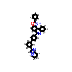 c1ccc(C2Nc3c(ccc4c(-c5ccc(-c6cccc(-c7cn8ccccc8n7)c6)cc5)nc5ccccc5c34)O2)cc1